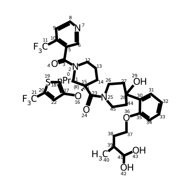 CCC[C@H]1N(C(=O)c2cnccc2C(F)(F)F)CCC[C@@]1(Oc1csc(C(F)(F)F)c1)C(=O)N1CCC(O)(c2ccccc2OCCC(C)C(O)O)CC1